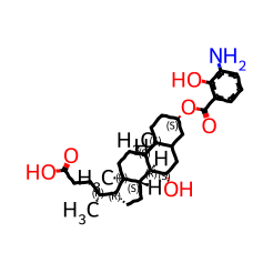 C[C@H](CCC(=O)O)[C@H]1CC[C@H]2[C@@H]3[C@@H](O)CC4C[C@@H](OC(=O)c5cccc(N)c5O)CC[C@]4(C)[C@H]3CC[C@]12C